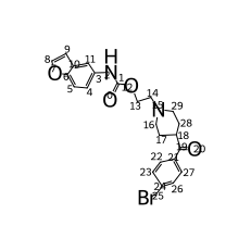 O=C(Nc1ccc2occc2c1)OCCN1CCC(C(=O)c2ccc(Br)cc2)CC1